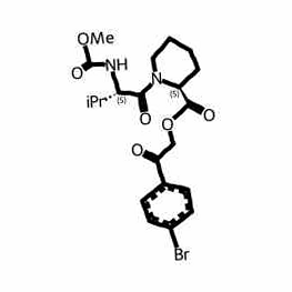 COC(=O)N[C@H](C(=O)N1CCCC[C@H]1C(=O)OCC(=O)c1ccc(Br)cc1)C(C)C